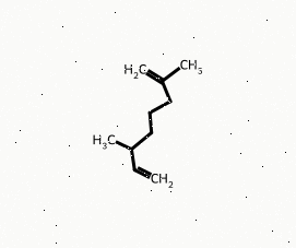 C=CC(C)CCCC(=C)C